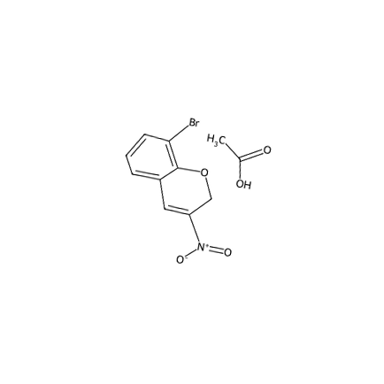 CC(=O)O.O=[N+]([O-])C1=Cc2cccc(Br)c2OC1